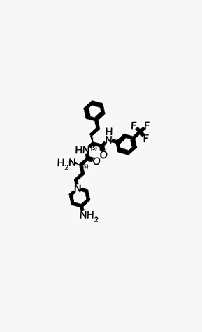 NC1CCN(CC[C@H](N)C(=O)N[C@@H](CCc2ccccc2)C(=O)Nc2cccc(C(F)(F)F)c2)CC1